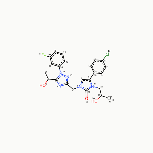 CC(O)c1nc(Cn2cc(-c3ccc(Cl)cc3)n(CC(O)C(F)(F)F)c2=O)nn1-c1cccc(F)c1